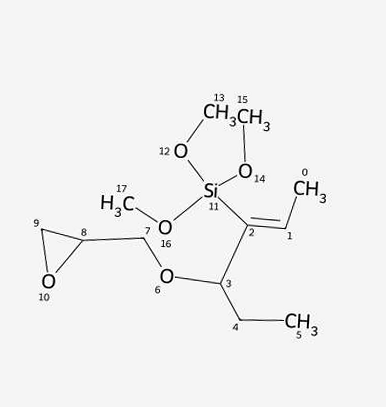 CC=C(C(CC)OCC1CO1)[Si](OC)(OC)OC